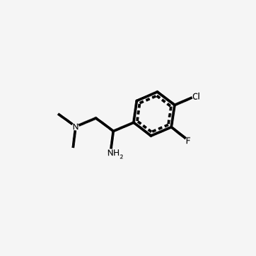 CN(C)CC(N)c1ccc(Cl)c(F)c1